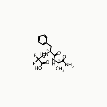 C[C@H](NC(=O)[C@@H](N)Cc1ccccc1)C(N)=O.O=C(O)C(F)(F)F